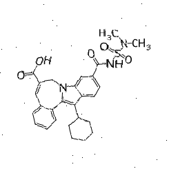 CN(C)S(=O)(=O)NC(=O)c1ccc2c(C3CCCCC3)c3n(c2c1)CC(C(=O)O)=Cc1ccccc1-3